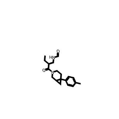 CCC(CNC=O)C(=O)N1CCC2(c3ccc(C)cc3)CC2C1